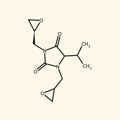 CC(C)C1C(=O)N(C[C@H]2CO2)C(=O)N1CC1CO1